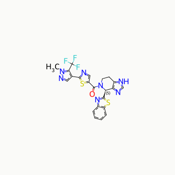 Cn1ncc(-c2ncc(C(=O)N3CCc4[nH]cnc4[C@H]3c3nc4ccccc4s3)s2)c1C(F)(F)F